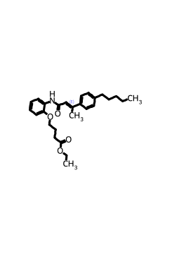 CCCCCc1ccc(/C(C)=C/C(=O)Nc2ccccc2OCCCC(=O)OCC)cc1